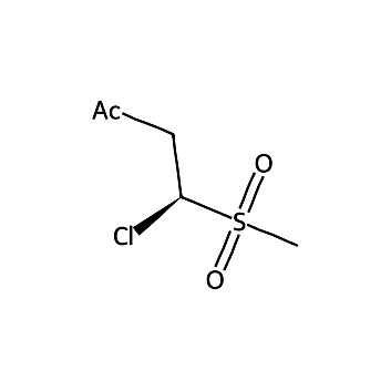 CC(=O)C[C@H](Cl)S(C)(=O)=O